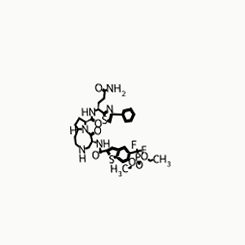 CCOP(=O)(OCC)C(F)(F)c1ccc2sc(C(=O)N[C@H]3CNCC[C@H]4CC[C@@H](C(=O)N[C@@H](CCC(N)=O)c5nc(-c6ccccc6)cs5)N4C3=O)cc2c1